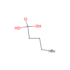 CCCCCCCC([O])(O)O